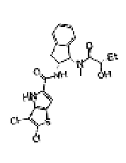 CC[C@H](O)C(=O)N(C)[C@H]1c2ccccc2C[C@H]1NC(=O)c1cc2sc(Cl)c(Cl)c2[nH]1